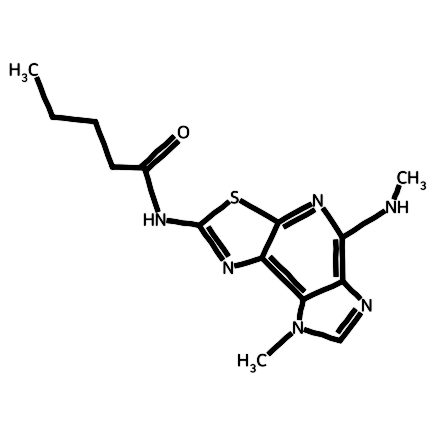 CCCCC(=O)Nc1nc2c(nc(NC)c3ncn(C)c32)s1